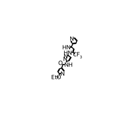 CCOc1ccc(C(=O)Nc2ccc(N/C(=C\C(=N)c3cccnc3)C(F)(F)F)nn2)cn1